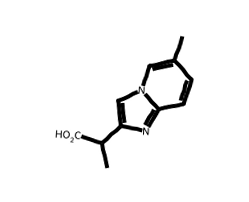 Cc1ccc2nc(C(C)C(=O)O)cn2c1